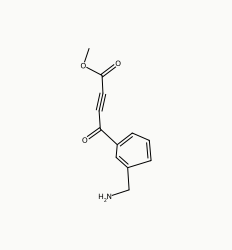 COC(=O)C#CC(=O)c1cccc(CN)c1